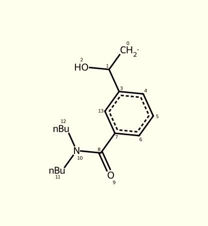 [CH2]C(O)c1cccc(C(=O)N(CCCC)CCCC)c1